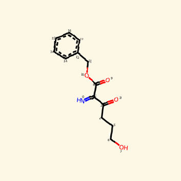 N=C(C(=O)CCCO)C(=O)OCc1ccccc1